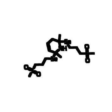 CC1([Se]CCCS(C)(=O)=O)C=CCC(C)([Se]CCCS(C)(=O)=O)N1